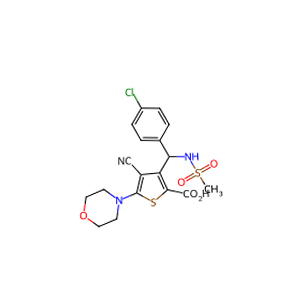 CS(=O)(=O)NC(c1ccc(Cl)cc1)c1c(C(=O)O)sc(N2CCOCC2)c1C#N